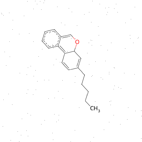 CCCCCC1=CC2OC=c3ccccc3=C2C=C1